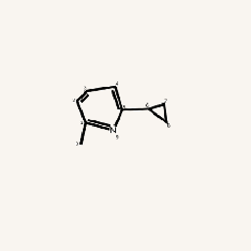 Cc1c[c]cc(C2CC2)n1